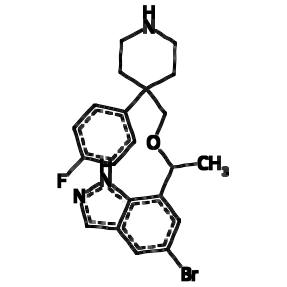 CC(OCC1(c2ccc(F)cc2)CCNCC1)c1cc(Br)cc2cn[nH]c12